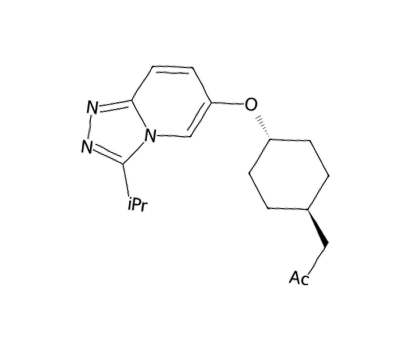 CC(=O)C[C@H]1CC[C@H](Oc2ccc3nnc(C(C)C)n3c2)CC1